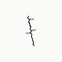 CCCCCCCC(O)C(O)CC=CC=CC(O)CC